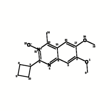 COc1cc2nc(C3CCC3)[n+]([O-])c(C)c2cc1OC